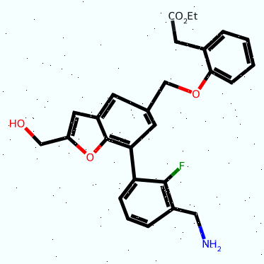 CCOC(=O)Cc1ccccc1OCc1cc(-c2cccc(CN)c2F)c2oc(CO)cc2c1